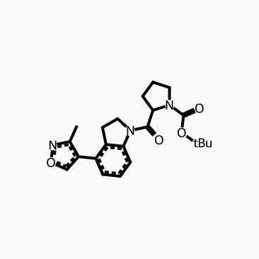 Cc1nocc1-c1cccc2c1CCN2C(=O)C1CCCN1C(=O)OC(C)(C)C